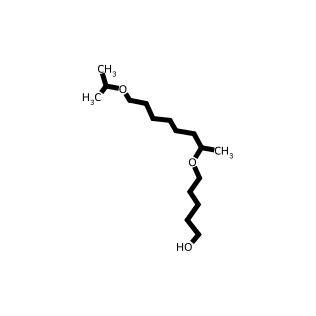 CC(C)OCCCCCCC(C)OCCCCCO